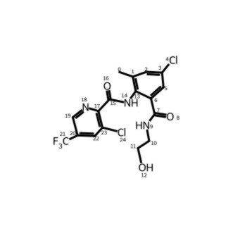 Cc1cc(Cl)cc(C(=O)NCCO)c1NC(=O)c1ncc(C(F)(F)F)cc1Cl